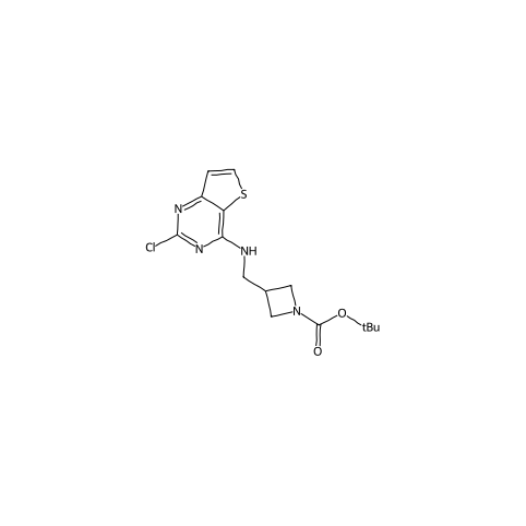 CC(C)(C)OC(=O)N1CC(CNc2nc(Cl)nc3ccsc23)C1